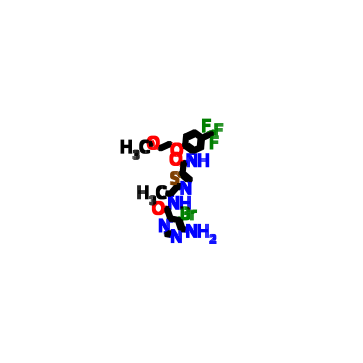 COCCOc1ccc(C(F)(F)F)cc1NC(=O)c1cnc(C(C)NC(=O)c2ncnc(N)c2Br)s1